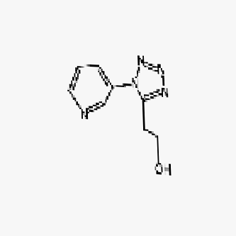 OCCc1nnnn1-c1cccnc1